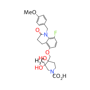 COc1ccc(CN2C(=O)CCc3c(OCC4(O)CCN(C(=O)O)CC4(C)O)ccc(F)c32)cc1